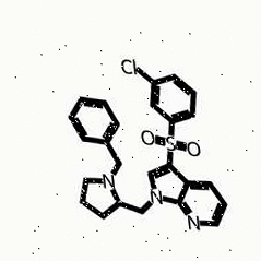 O=S(=O)(c1cccc(Cl)c1)c1cn(CC2CCCN2Cc2ccccc2)c2ncccc12